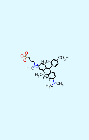 Cc1cc(C(=O)O)ccc1C1=C2C=C/C(=[N+](/C)CCCS(=O)(=O)[O-])C=C2[Si](C)(C)c2cc(N(C)C)ccc21